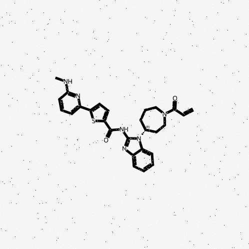 C=CC(=O)N1CCC[C@@H](n2c(NC(=O)c3ccc(-c4cccc(NC)n4)s3)nc3ccccc32)CC1